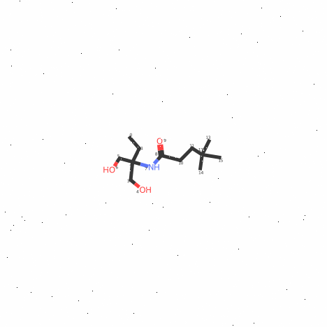 CCC(CO)(CO)NC(=O)CCC(C)(C)C